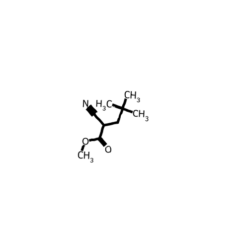 COC(=O)C(C#N)CC(C)(C)C